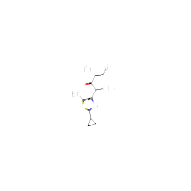 CCc1sc(C2CC2)nc1C(C=O)C(=O)[C@H](CC)CC(C)C